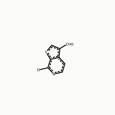 O=Cc1csc2c(Cl)nccc12